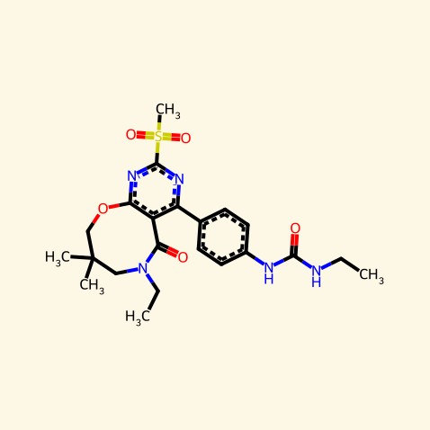 CCNC(=O)Nc1ccc(-c2nc(S(C)(=O)=O)nc3c2C(=O)N(CC)CC(C)(C)CO3)cc1